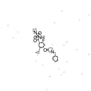 O=C(NS(=O)(=O)N1CCC1)c1cc(C2CC2)c(O[C@H]2CCN(Cc3ccccc3)C2)cc1F